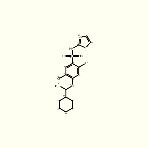 CC(Nc1cc(F)c(S(=O)(=O)Nc2nccs2)cc1Cl)C1CCCCC1